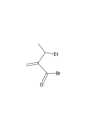 C=C(C(=O)Br)C(C)CC